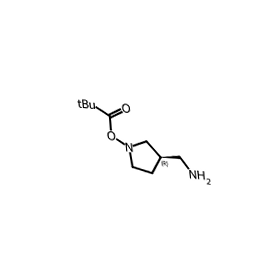 CC(C)(C)C(=O)ON1CC[C@H](CN)C1